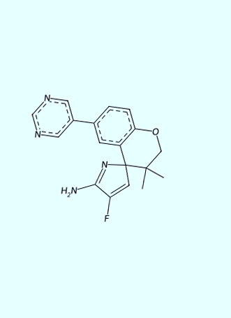 CC1(C)COc2ccc(-c3cncnc3)cc2C12C=C(F)C(N)=N2